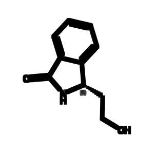 O=C1N[C@@H](CCO)c2ccccc21